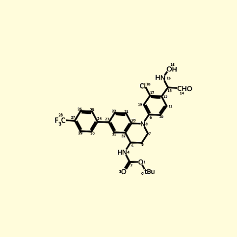 CC(C)(C)OC(=O)NC1CCN(c2ccc(C(C=O)NO)c(Cl)c2)c2ccc(-c3ccc(C(F)(F)F)cc3)cc21